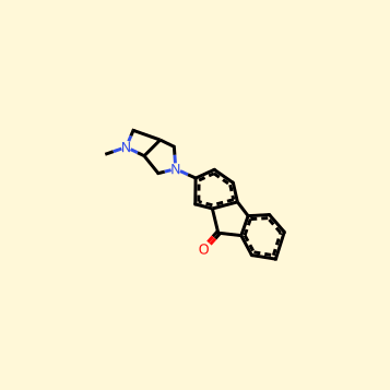 CN1CC2CN(c3ccc4c(c3)C(=O)c3ccccc3-4)CC21